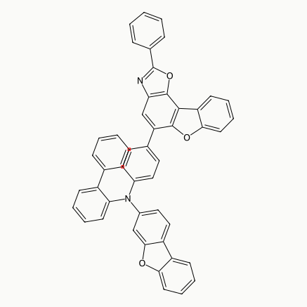 c1ccc(-c2nc3cc(-c4ccc(N(c5ccc6c(c5)oc5ccccc56)c5ccccc5-c5ccccc5)cc4)c4oc5ccccc5c4c3o2)cc1